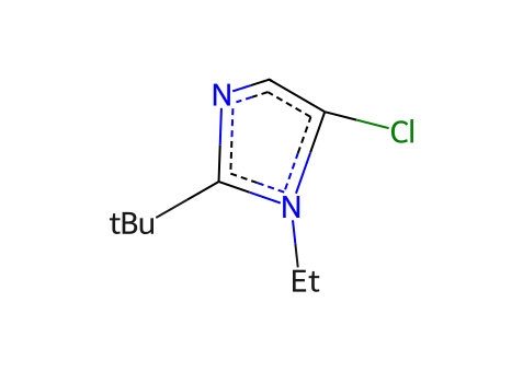 CCn1c(Cl)cnc1C(C)(C)C